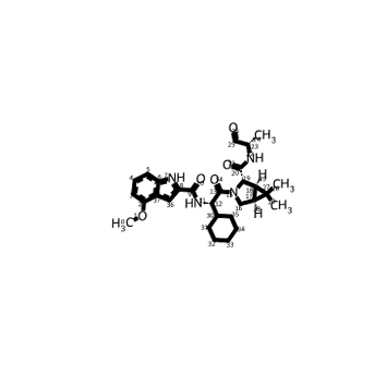 COc1cccc2[nH]c(C(=O)N[C@H](C(=O)N3C[C@H]4[C@@H]([C@H]3C(=O)N[C@@H](C)C=O)C4(C)C)C3CCCCC3)cc12